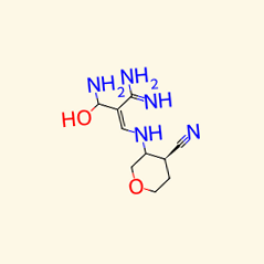 N#C[C@H]1CCOCC1N/C=C(\C(=N)N)C(N)O